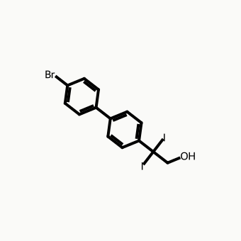 OCC(I)(I)c1ccc(-c2ccc(Br)cc2)cc1